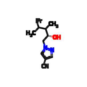 CC(C)C(C)C(C)[C@H](O)Cn1cc(C#N)cn1